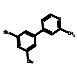 Cc1cc(-c2cc(C(C)(C)C)cc(C(C)(C)C)c2)ccn1